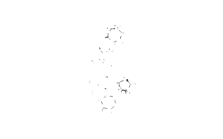 O=C(Nc1ccnnc1)N1CCC(C(F)(F)Sc2ccccc2-n2cncn2)CC1